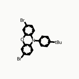 CC(C)(C)c1ccc(N2c3ccc(Br)cc3Oc3cc(Br)ccc32)cc1